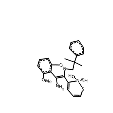 COc1cccc2c1C(N)=C(C1=CC=CS[N+]1(O)O)N(CC(C)(C)c1ccccc1)O2